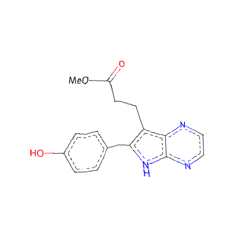 COC(=O)CCc1c(-c2ccc(O)cc2)[nH]c2nccnc12